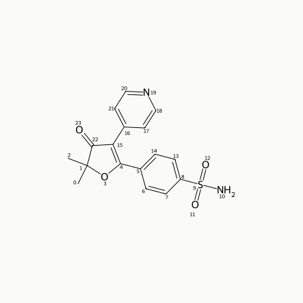 CC1(C)OC(c2ccc(S(N)(=O)=O)cc2)=C(c2ccncc2)C1=O